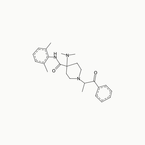 Cc1cccc(C)c1NC(=O)C1(N(C)C)CCN(C(C)C(=O)c2ccccc2)CC1